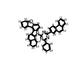 c1ccc(-c2nc(-c3ccc4c(ccc5ccccc54)c3)nc(-n3c4ccc5oc6ccccc6c5c4c4ccc5ccccc5c43)n2)cc1